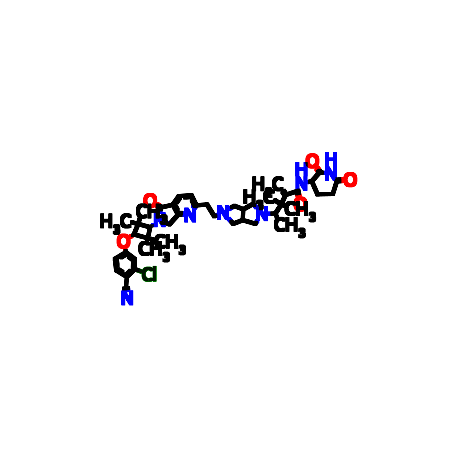 C=C(C(=O)NC1CCC(=O)NC1=O)C(C)(C)[C@@H](C)N1CC2CN(CCc3ccc4c(n3)CN([C@H]3C(C)(C)[C@H](Oc5ccc(C#N)c(Cl)c5)C3(C)C)C4=O)CC2C1